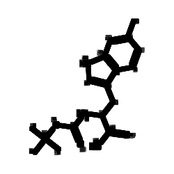 Cc1ccc2c(CC(NC(=O)OC(C)(C)C)C(=O)O)c[nH]c2c1